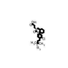 CC(C)(C)CCc1ccc(C23CCCCC2=CN(CCC(=O)O)C(=O)N3)cc1Cl